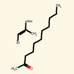 CCC=C(C)CCCCCC.CCCCCCCCCC(C)=O